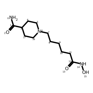 NC(=O)C1CCN(CCCCCC(=O)NO)CC1